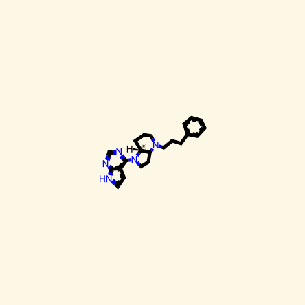 c1ccc(CCCN2CCC[C@@H]3C2CCN3c2ncnc3[nH]ccc23)cc1